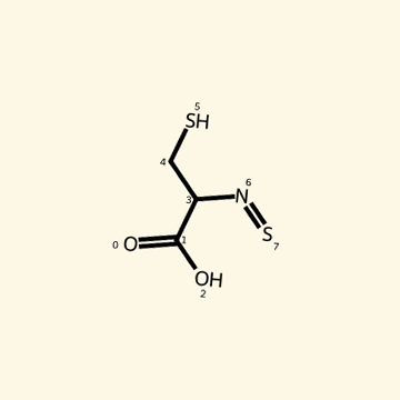 O=C(O)C(CS)N=S